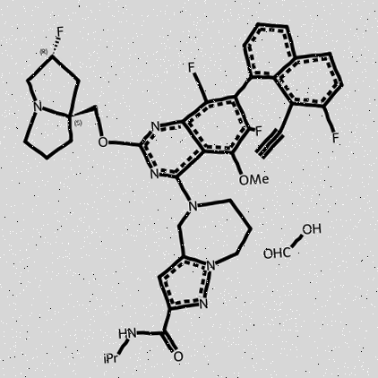 C#Cc1c(F)ccc2cccc(-c3c(F)c(OC)c4c(N5CCCn6nc(C(=O)NC(C)C)cc6C5)nc(OC[C@@]56CCCN5C[C@H](F)C6)nc4c3F)c12.O=CO